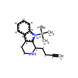 C#CCCC1NCCc2c1n([Si](C)(C)C(C)(C)C)c1ccccc21